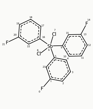 Fc1ccc[c]([Sb]([Cl])([Cl])([c]2cccc(F)c2)[c]2cccc(F)c2)c1